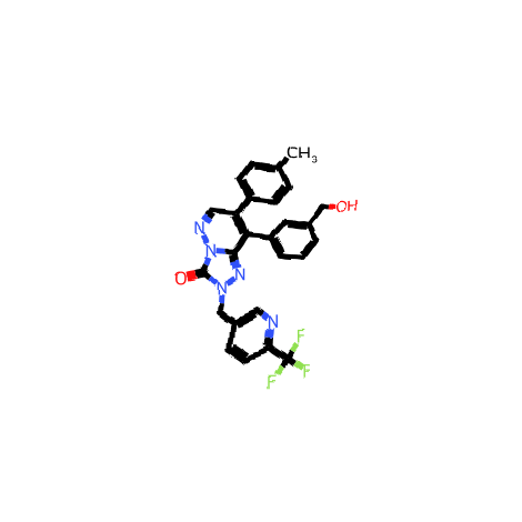 Cc1ccc(-c2cnn3c(=O)n(Cc4ccc(C(F)(F)F)nc4)nc3c2-c2cccc(CO)c2)cc1